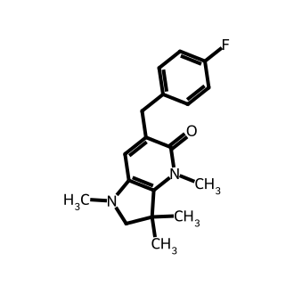 CN1CC(C)(C)c2c1cc(Cc1ccc(F)cc1)c(=O)n2C